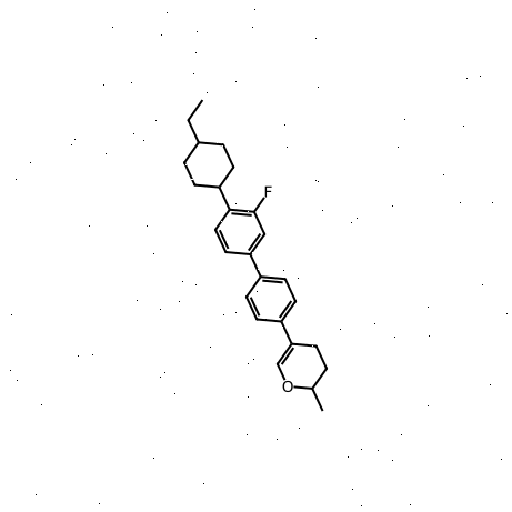 CCC1CCC(c2ccc(-c3ccc(C4=COC(C)CC4)cc3)cc2F)CC1